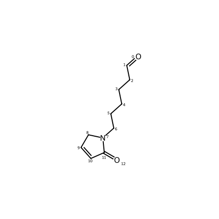 O=CCCCCCN1CC=CC1=O